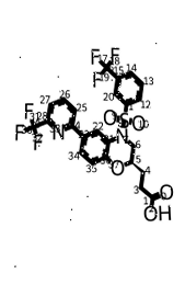 O=C(O)CC[C@@H]1CN(S(=O)(=O)c2cccc(C(F)(F)F)c2)c2cc(-c3cccc(C(F)(F)F)n3)ccc2O1